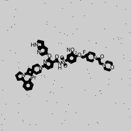 CC(C)c1ccccc1C1CCCN1C1CC2(CCN(c3ccc(C(=O)NS(=O)(=O)c4ccc(OCC5(F)CCN(C(=O)CN6CCOCC6)CC5)c([N+](=O)[O-])c4)c(Oc4cnc5[nH]ccc5c4)n3)CC2)C1